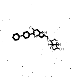 OC1CO[C@@H]2C(OCc3cc4nc(-c5ccc(-c6ccccc6)cc5)c(Cl)cc4[nH]3)CO[C@H]12